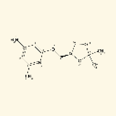 Cc1cc(N)cc(OC[C@H]2COC(C)(C)O2)n1